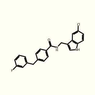 O=C(NCc1c[nH]c2ccc(Cl)cc12)c1ccc(Cc2cccc(F)c2)cc1